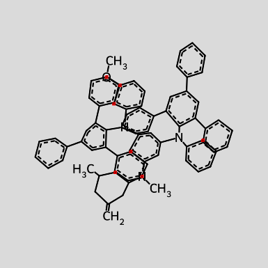 C=C1CC(C)CC(N(C)c2cc(N(c3ccccc3)c3c(-c4ccccc4)cc(-c4ccccc4)cc3-c3ccccc3)cc(N(c3cccc(OC)c3)c3c(-c4ccccc4)cc(-c4ccccc4)cc3-c3ccccc3)c2)C1